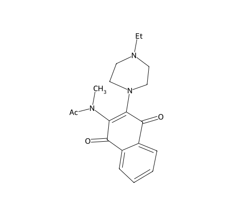 CCN1CCN(C2=C(N(C)C(C)=O)C(=O)c3ccccc3C2=O)CC1